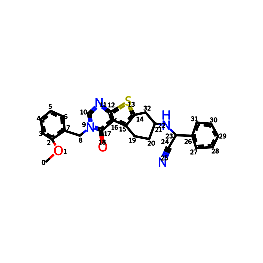 COc1ccccc1Cn1cnc2sc3c(c2c1=O)CCC(NC(C#N)c1ccccc1)C3